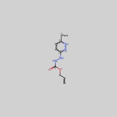 C=CCOC(=O)NNc1ccc(CCCCC)nn1